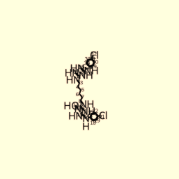 N=C(NCCCCCCNC(=NO)NC(=N)Nc1ccc(Cl)cc1)NC(=N)Nc1ccc(Cl)cc1